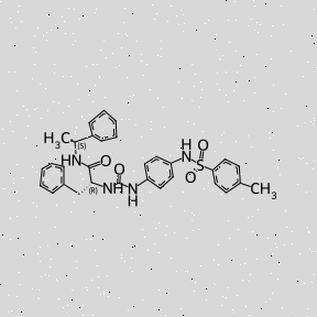 Cc1ccc(S(=O)(=O)Nc2ccc(NC(=O)N[C@H](Cc3ccccc3)C(=O)N[C@@H](C)c3ccccc3)cc2)cc1